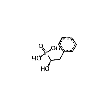 O=P(O)(O)[C@H](O)Cc1ccccc1